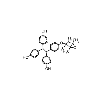 CC1OC1(C)C(C)(C)Oc1ccc(C(c2ccc(O)cc2)C(c2ccc(O)cc2)c2ccc(O)cc2)cc1